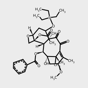 CC[Si](CC)(CC)OC1C[C@H]2OC[C@@]2(OC(C)=O)[C@H]2[C@H](OC(=O)c3ccccc3)[C@]3(O)C[C@H](OC)C(C)=C(C(=O)C(=O)[C@]12C)C3(C)C